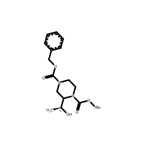 C[C@H](O)C1CN(C(=O)OCc2ccccc2)CCN1C(=O)OC(C)(C)C